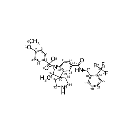 COc1ccc(S(=O)(=O)N2c3ccc(C(=O)NCc4ccccc4C(F)(F)F)cc3C3(CCNCC3)C2C)cc1